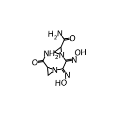 NC(=O)C1CN1C(=N\O)/C(=N/O)N1CC1C(N)=O